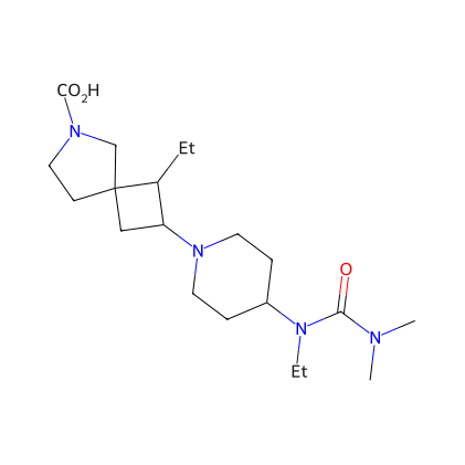 CCC1C(N2CCC(N(CC)C(=O)N(C)C)CC2)CC12CCN(C(=O)O)C2